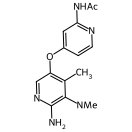 CNc1c(N)ncc(Oc2ccnc(NC(C)=O)c2)c1C